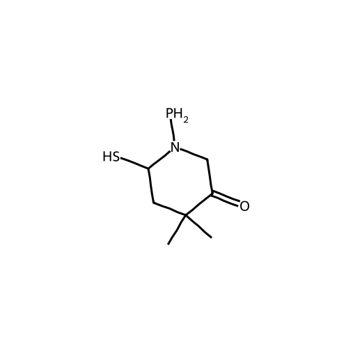 CC1(C)CC(S)N(P)CC1=O